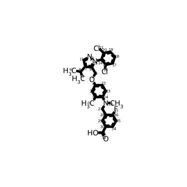 Cc1cc(OCc2c(C(C)C)cnn2-c2c(Cl)cccc2Cl)ccc1N(C)Cc1cc(C(=O)O)ccc1F